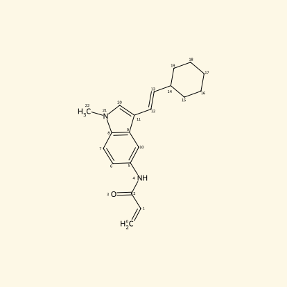 C=CC(=O)Nc1ccc2c(c1)c(C=CC1CCCCC1)cn2C